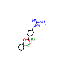 Cl.N=C(N)NCC1CCC(C(=O)Oc2ccccc2Cl)CC1